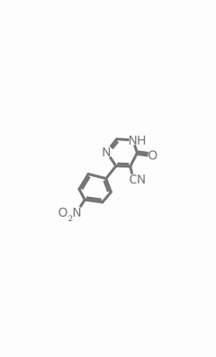 N#Cc1c(-c2ccc([N+](=O)[O-])cc2)nc[nH]c1=O